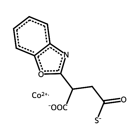 O=C([S-])CC(C(=O)[O-])c1nc2ccccc2o1.[Co+2]